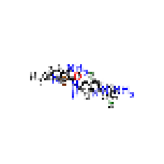 Cc1ccc2c(N)c(C(=O)NC3CCc4nc(N5CC(N)C(CF)C5)cc(F)c4C3)sc2n1